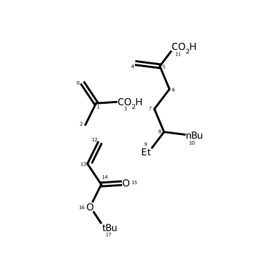 C=C(C)C(=O)O.C=C(CCC(CC)CCCC)C(=O)O.C=CC(=O)OC(C)(C)C